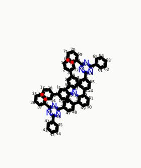 c1ccc(-c2ccc3c(c2)c2cc(-c4ccccc4)ccc2n3-c2c(-c3ccc(-c4nc(-c5ccccc5)nc(-c5ccccc5)n4)cc3)cccc2-c2ccc(-c3nc(-c4ccccc4)nc(-c4ccccc4)n3)cc2)cc1